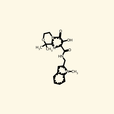 Cn1c(CNC(=O)c2nc3n(c(=O)c2O)CCOC3(C)C)cc2ccccc21